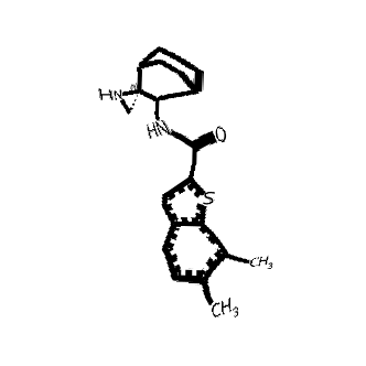 Cc1ccc2cc(C(=O)NC3C4CCC(CC4)[C@@]34CN4)sc2c1C